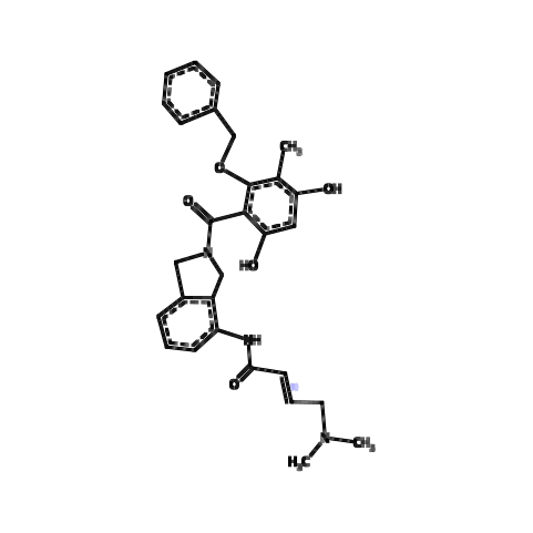 Cc1c(O)cc(O)c(C(=O)N2Cc3cccc(NC(=O)/C=C/CN(C)C)c3C2)c1OCc1ccccc1